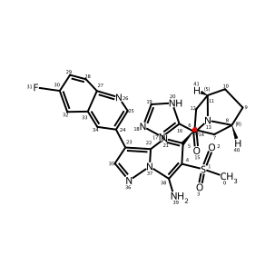 CS(=O)(=O)c1c([C@@H]2C[C@H]3CC[C@@H](C2)N3C(=O)c2nnc[nH]2)nc2c(-c3cnc4ccc(F)cc4c3)cnn2c1N